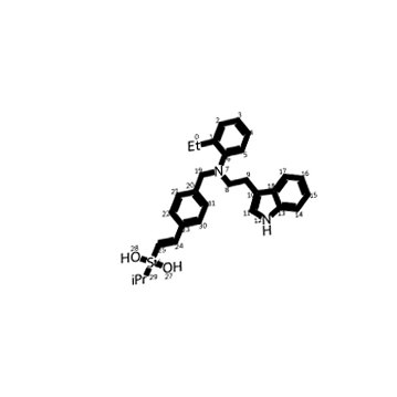 CCc1ccccc1N(CCc1c[nH]c2ccccc12)Cc1ccc(C=C[Si](O)(O)C(C)C)cc1